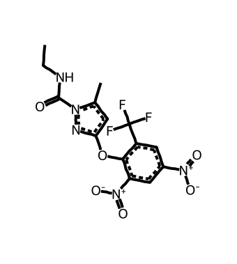 CCNC(=O)n1nc(Oc2c([N+](=O)[O-])cc([N+](=O)[O-])cc2C(F)(F)F)cc1C